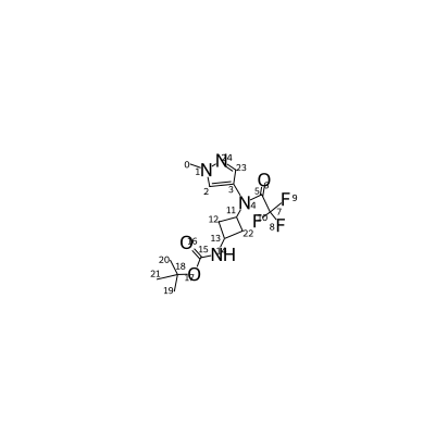 Cn1cc(N(C(=O)C(F)(F)F)C2CC(NC(=O)OC(C)(C)C)C2)cn1